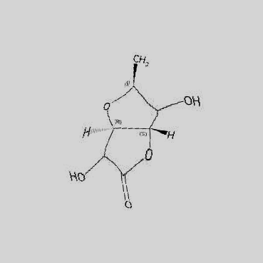 C[C@@H]1O[C@@H]2C(O)C(=O)O[C@H]2C1O